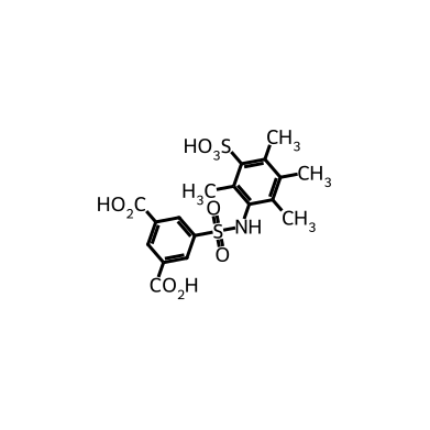 Cc1c(C)c(NS(=O)(=O)c2cc(C(=O)O)cc(C(=O)O)c2)c(C)c(S(=O)(=O)O)c1C